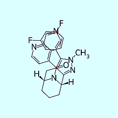 Cn1nc2c(c1-c1cc(F)cc(F)c1)C[C@H]1CCC[C@@H]2N1C(=O)c1ccnc2cnccc12